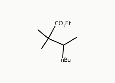 CCCCC(C)C(C)(C)C(=O)OCC